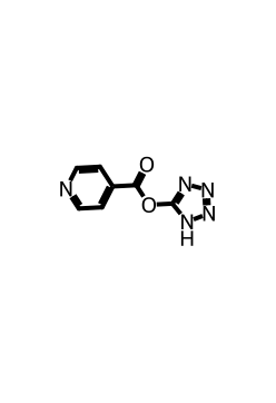 O=C(Oc1nnn[nH]1)c1ccncc1